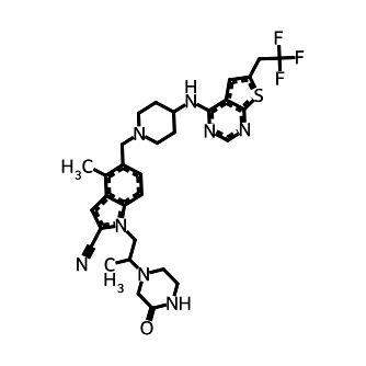 Cc1c(CN2CCC(Nc3ncnc4sc(CC(F)(F)F)cc34)CC2)ccc2c1cc(C#N)n2CC(C)N1CCNC(=O)C1